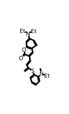 C=C(/C=C/c1cc2ccc(N(CC)CC)cc2oc1=O)Sc1ccccc1N(C)CC